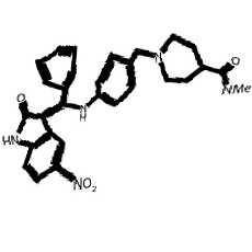 CNC(=O)C1CCN(Cc2ccc(NC(=C3C(=O)Nc4ccc([N+](=O)[O-])cc43)c3ccccc3)cc2)CC1